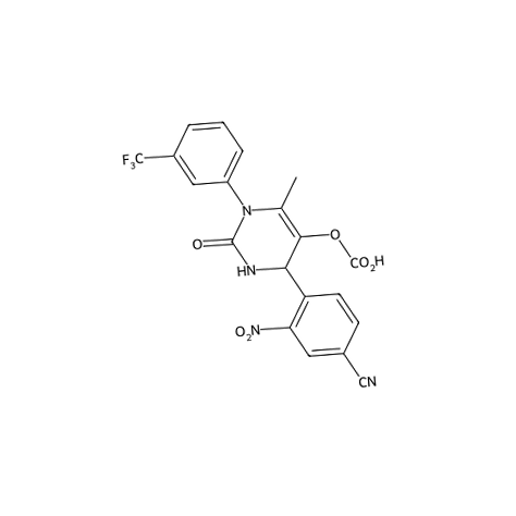 CC1=C(OC(=O)O)C(c2ccc(C#N)cc2[N+](=O)[O-])NC(=O)N1c1cccc(C(F)(F)F)c1